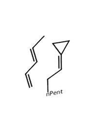 C=CC=CC.CCCCCCC=C1CC1